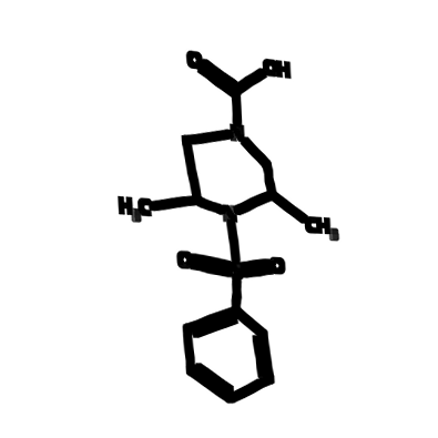 CC1CN(C(=O)O)CC(C)N1S(=O)(=O)c1ccccc1